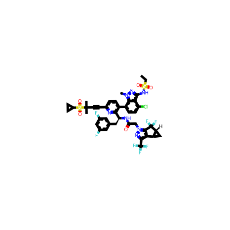 CCS(=O)(=O)Nc1nn(C)c2c(-c3ccc(C#CC(C)(C)S(=O)(=O)C4CC4)nc3[C@H](Cc3cc(F)cc(F)c3)NC(=O)Cn3nc(C(F)(F)F)c4c3C(F)(F)[C@@H]3CC43)ccc(Cl)c12